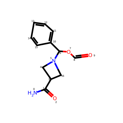 NC(=O)C1CN(C(OC=O)c2ccccc2)C1